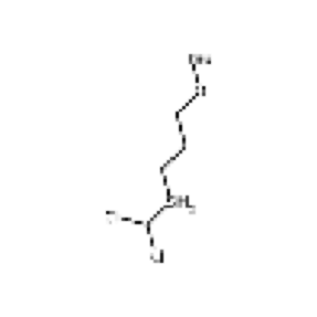 CC(C)(C)OCCC[SiH2]C(Cl)Cl